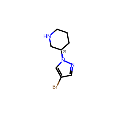 Brc1cnn([C@@H]2CCCNC2)c1